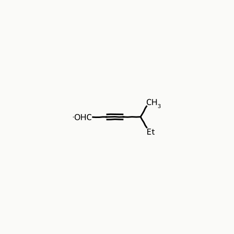 CCC(C)C#C[C]=O